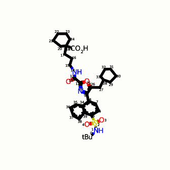 CC(C)(C)NS(=O)(=O)c1ccc(-c2nc(C(=O)NCCCC3(C(=O)O)CCCCC3)oc2CC2CCCCC2)c2ccccc12